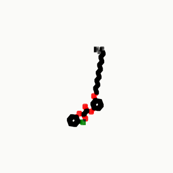 CCCCCCCCCCCCOc1cccc(OC(=O)C(=O)Oc2ccccc2Cl)c1